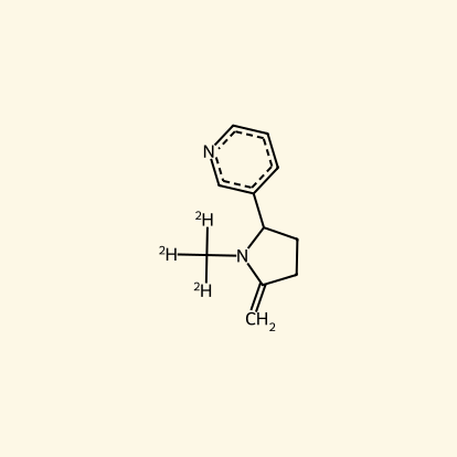 [2H]C([2H])([2H])N1C(=C)CCC1c1cccnc1